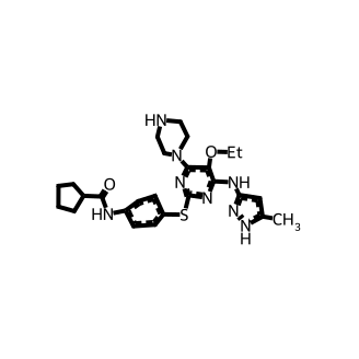 CCOc1c(Nc2cc(C)[nH]n2)nc(Sc2ccc(NC(=O)C3CCCC3)cc2)nc1N1CCNCC1